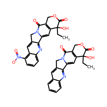 CCC1(O)C(=O)OCc2c1cc1n(c2=O)Cc2cc3c([N+](=O)[O-])cccc3nc2-1.CCC1(O)C(=O)OCc2c1cc1n(c2=O)Cc2cc3ccccc3nc2-1